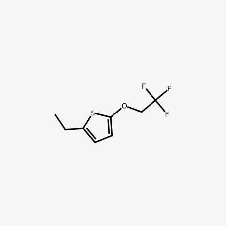 CCc1ccc(OCC(F)(F)F)s1